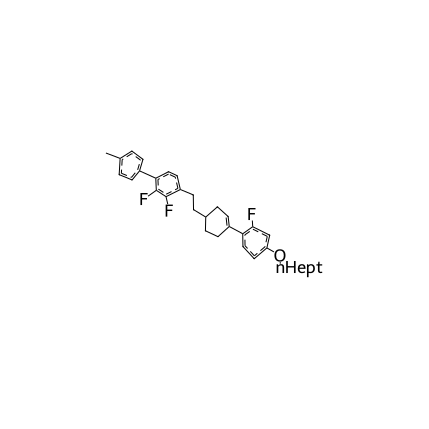 CCCCCCCOc1ccc(C2=CCC(CCc3ccc(-c4ccc(C)cc4)c(F)c3F)CC2)c(F)c1